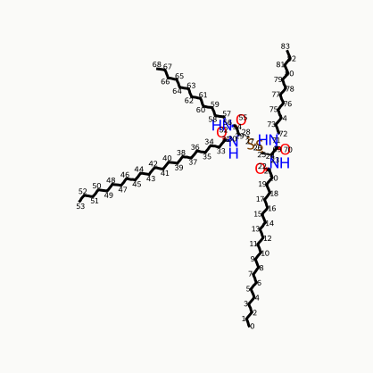 CCCCCCCCCCCCCCCCCCCCCC(=O)N[C@@H](CSSC[C@H](NC(=O)CCCCCCCCCCCCCCCCCCCCC)C(=O)NCCCCCCCCCCCC)C(=O)NCCCCCCCCCCCC